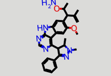 C=C(C)C(c1cc2[nH]c3ncnc(C4C(c5ccccc5)=NN(C)C4C)c3c2cc1OC)C(C)ON